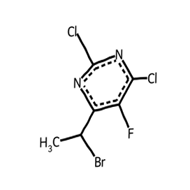 CC(Br)c1nc(Cl)nc(Cl)c1F